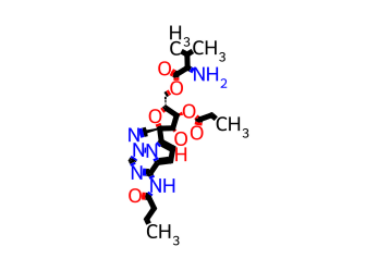 CCCC(=O)Nc1ncnn2c([C@]3(C#N)O[C@H](COC(=O)C(N)C(C)C)[C@@H](OC(=O)CC)[C@H]3O)ccc12